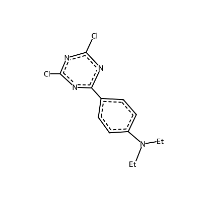 CCN(CC)c1ccc(-c2nc(Cl)nc(Cl)n2)cc1